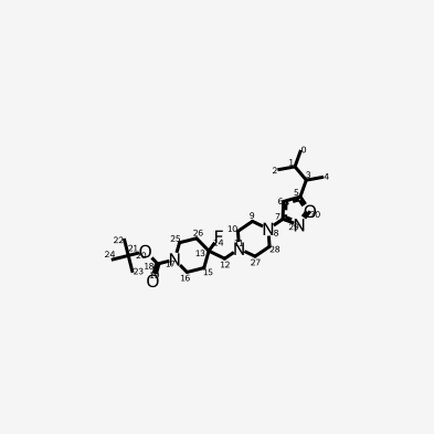 CC(C)C(C)c1cc(N2CCN(CC3(F)CCN(C(=O)OC(C)(C)C)CC3)CC2)no1